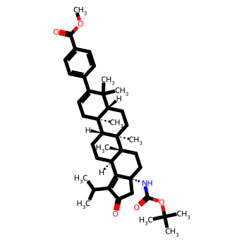 COC(=O)c1ccc(C2=CC[C@]3(C)[C@H]4CC[C@@H]5C6=C(C(C)C)C(=O)C[C@]6(NC(=O)OC(C)(C)C)CC[C@@]5(C)[C@]4(C)CC[C@H]3C2(C)C)cc1